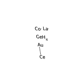 [Ce][Au].[Co].[GeH4].[La]